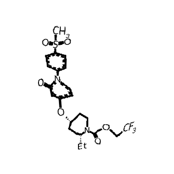 CC[C@@H]1C[C@H](Oc2ccn(-c3ccc(S(C)(=O)=O)cc3)c(=O)c2)CCN1C(=O)OCC(F)(F)F